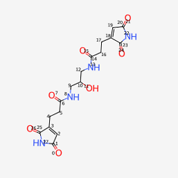 O=C1C=C(CCC(=O)NCC(O)CNC(=O)CCC2=CC(=O)NC2=O)C(=O)N1